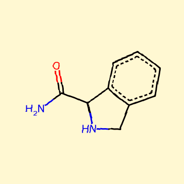 NC(=O)C1NCc2ccccc21